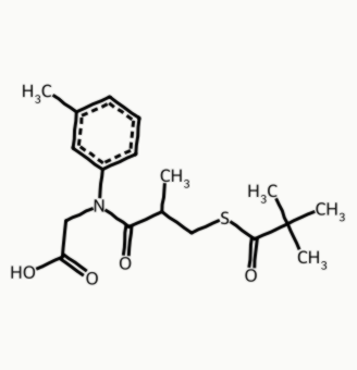 Cc1cccc(N(CC(=O)O)C(=O)C(C)CSC(=O)C(C)(C)C)c1